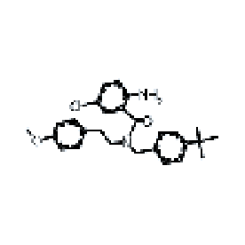 COc1ccc(CCN(Cc2ccc(C(C)(C)C)cc2)C(=O)c2cc(Cl)ccc2N)cc1